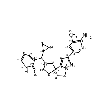 Nc1ncc(-c2cc3n(n2)CC[C@@]32CCN(C(c3ccc[nH]c3=O)C3CC3)C2)cc1C(F)(F)F